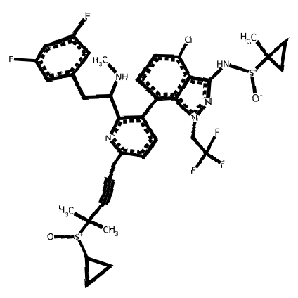 CNC(Cc1cc(F)cc(F)c1)c1nc(C#CC(C)(C)[S+]([O-])C2CC2)ccc1-c1ccc(Cl)c2c(N[S+]([O-])C3(C)CC3)nn(CC(F)(F)F)c12